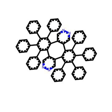 c1ccc(-c2c(-c3ccccc3)c(-c3ccccc3)c3c(c2-c2ccccc2)-c2cnncc2-c2c(-c4ccccc4)c(-c4ccccc4)c(-c4ccccc4)c(-c4ccccc4)c2-c2cnncc2-3)cc1